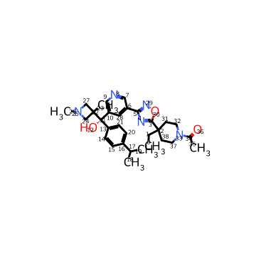 CCC1(c2nc(-c3cncc([C@@](O)(c4ccc(C(C)C)cc4)C4(C)CN(C)C4)c3)no2)CCN(C(C)=O)CC1